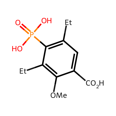 CCc1cc(C(=O)O)c(OC)c(CC)c1P(=O)(O)O